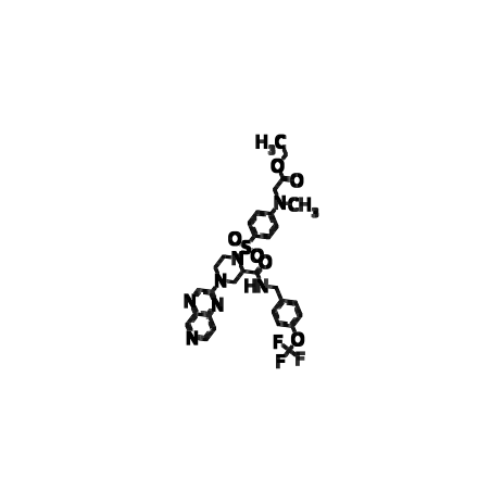 CCOC(=O)CN(C)c1ccc(S(=O)(=O)N2CCN(c3cnc4cnccc4n3)CC2C(=O)NCc2ccc(OC(F)(F)F)cc2)cc1